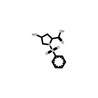 O=C(O)C1CC(O)CN1S(=O)(=O)c1ccccc1